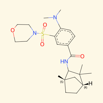 CN(C)c1ccc(C(=O)NC2C(C)(C)[C@@H]3CC[C@@]2(C)C3)cc1S(=O)(=O)N1CCOCC1